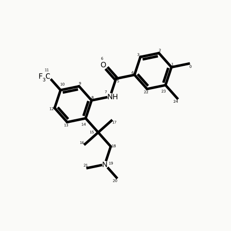 Cc1ccc(C(=O)Nc2cc(C(F)(F)F)ccc2C(C)(C)CN(C)C)cc1C